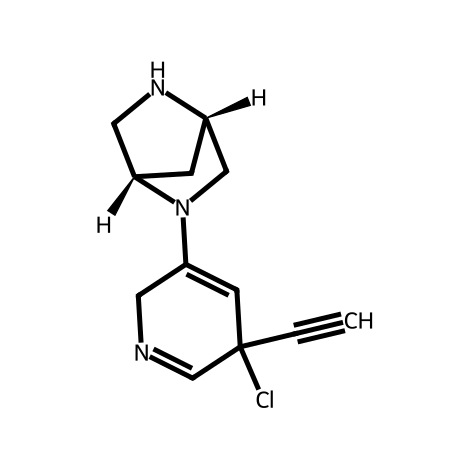 C#CC1(Cl)C=NCC(N2C[C@@H]3C[C@H]2CN3)=C1